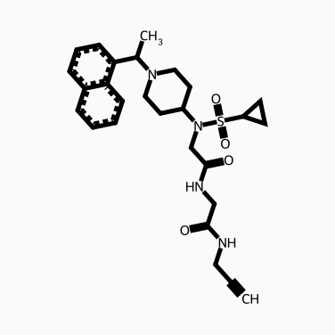 C#CCNC(=O)CNC(=O)CN(C1CCN(C(C)c2cccc3ccccc23)CC1)S(=O)(=O)C1CC1